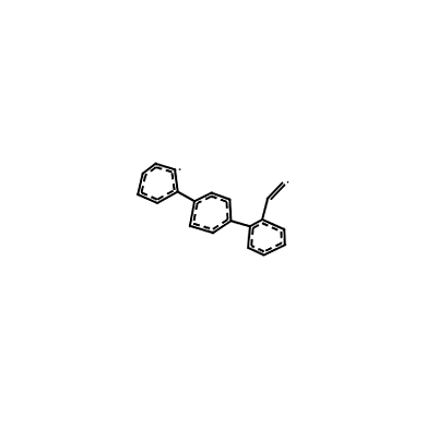 [CH]=Cc1ccccc1-c1ccc(-c2[c]cccc2)cc1